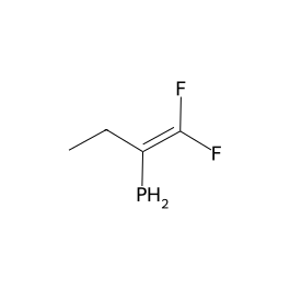 CCC(P)=C(F)F